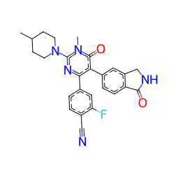 CC1CCN(c2nc(-c3ccc(C#N)c(F)c3)c(-c3ccc4c(c3)CNC4=O)c(=O)n2C)CC1